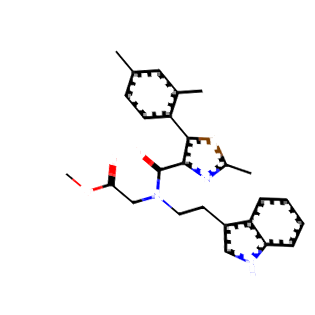 COC(=O)CN(CCc1c[nH]c2ccccc12)C(=O)c1nc(C)sc1-c1ccc(C)cc1C